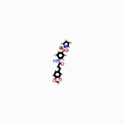 O=C(/C=C/c1ccc2c(c1)OCO2)Nc1ccc(S(=O)(=O)N2CCCC2)cc1